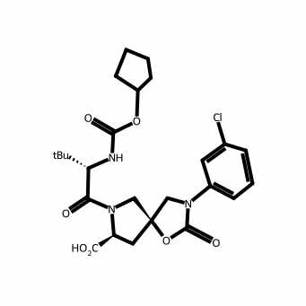 CC(C)(C)[C@H](NC(=O)OC1CCCC1)C(=O)N1C[C@@]2(C[C@H]1C(=O)O)CN(c1cccc(Cl)c1)C(=O)O2